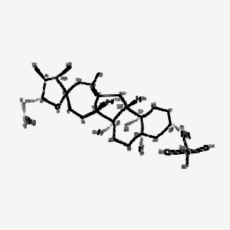 CC[C@@H](C)C[C@H]1O[C@]2(CC[C@@H]3C(=C(C)C2)C[C@H]2[C@H]3CC[C@@H]3C[C@@H](NS(C)(=O)=O)CC[C@@]32C)[C@H](C)[C@@H]1C